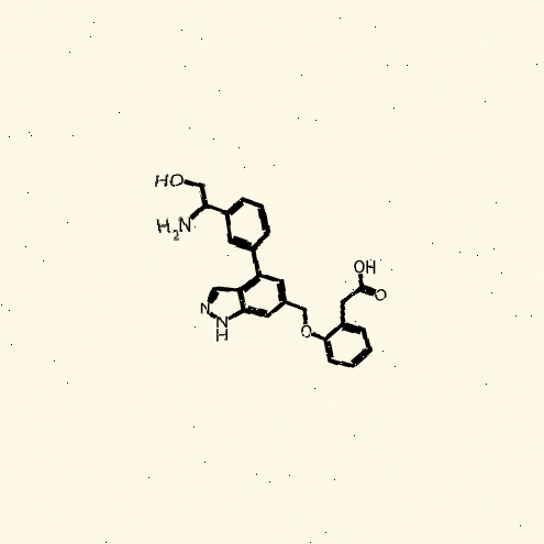 NC(CO)c1cccc(-c2cc(COc3ccccc3CC(=O)O)cc3[nH]ncc23)c1